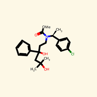 COC(=O)N(CCC(O)(CC(C)(C)O)c1ccccc1)[C@@H](C)c1ccc(Cl)cc1